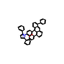 c1ccc(-c2cccc3c(-c4ccc(-n5c(-c6ccccc6)ccc5-c5ccccc5)cc4)c4c(-c5ccccc5)cccc4cc23)cc1